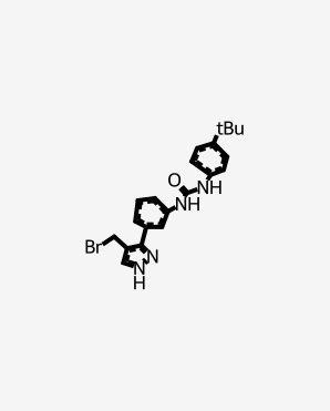 CC(C)(C)c1ccc(NC(=O)Nc2cccc(-c3n[nH]cc3CBr)c2)cc1